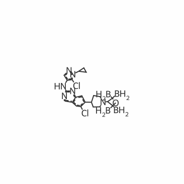 BC1(B)OC(B)(B)C1N1CCC(c2cc3nc(Nc4cnn(C5CC5)c4Cl)ncc3cc2Cl)CC1